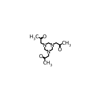 CC(=O)CN1CN(CC(C)=O)CN(CC(C)=O)C1